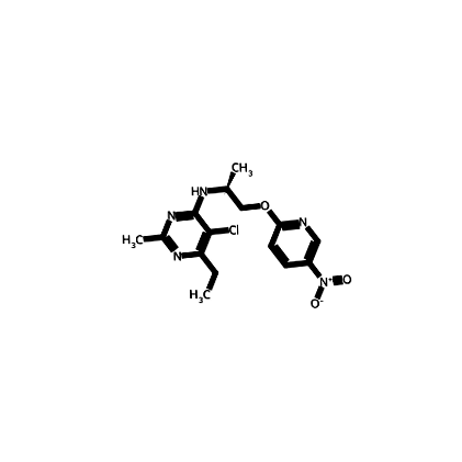 CCc1nc(C)nc(N[C@@H](C)COc2ccc([N+](=O)[O-])cn2)c1Cl